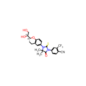 CC1(C)C(=O)N(c2ccc(C#N)c(C(F)(F)F)c2)C(=S)N1c1ccc2c(c1)CC[C@H]([C@@H](O)CO)O2